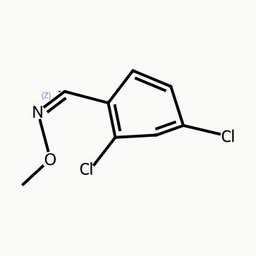 CO/N=[C]\c1ccc(Cl)cc1Cl